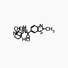 Cc1nc2ccc(C(=O)NC3C4CCN(CC4)C3(C)C)cc2s1.Cl